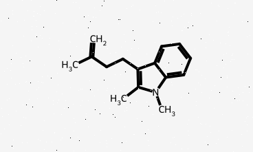 C=C(C)CCc1c(C)n(C)c2ccccc12